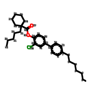 CCCCCCCc1ccc(-c2ccc(OC(=O)C3(CCCCC)CCCCC3)c(Cl)c2)cc1